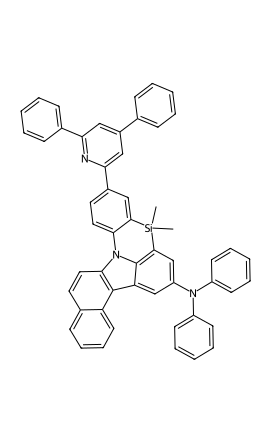 C[Si]1(C)c2cc(-c3cc(-c4ccccc4)cc(-c4ccccc4)n3)ccc2-n2c3ccc4ccccc4c3c3cc(N(c4ccccc4)c4ccccc4)cc1c32